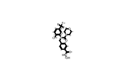 O=C(NO)c1ccc(CN(C(=O)N2CCOCC2)c2cc(C(F)(F)F)ccc2Cl)cc1